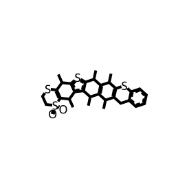 CC1C2=C(Cc3ccccc3S2)C(C)C2=C1C(C)c1sc3c(c1C2C)C(C)C1=C(SCCS1(=O)=O)C3C